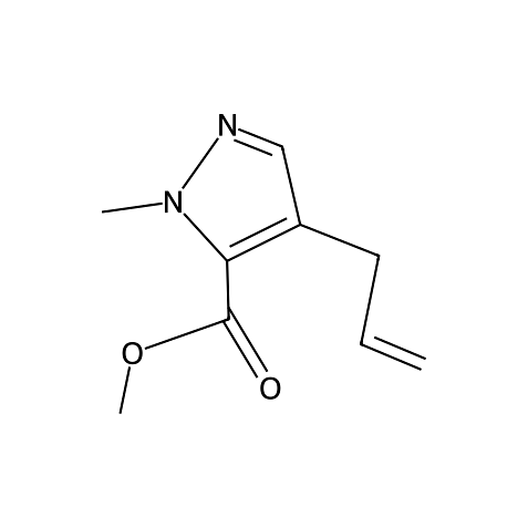 C=CCc1cnn(C)c1C(=O)OC